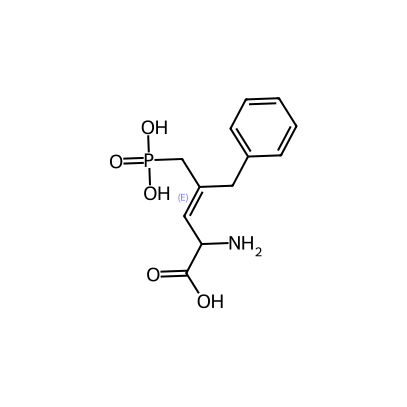 NC(/C=C(\Cc1ccccc1)CP(=O)(O)O)C(=O)O